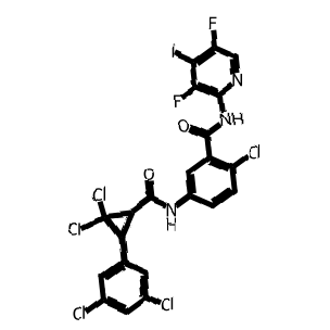 O=C(Nc1ncc(F)c(I)c1F)c1cc(NC(=O)C2C(c3cc(Cl)cc(Cl)c3)C2(Cl)Cl)ccc1Cl